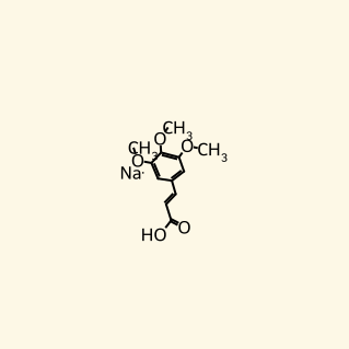 COc1cc(C=CC(=O)O)cc(OC)c1OC.[Na]